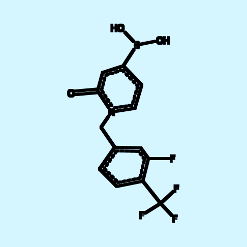 O=c1cc(B(O)O)ccn1Cc1ccc(C(F)(F)F)c(F)c1